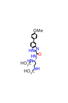 COc1ccc(-c2ccc3[nH]c(C(=O)NC[C@H](CCNC(=O)O)NC(=O)O)nc3c2)cc1